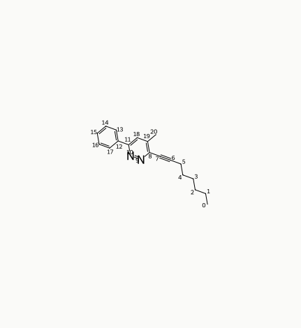 CCCCCCC#Cc1nnc(-c2ccccc2)cc1C